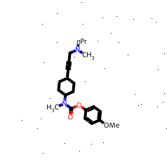 CCCN(C)CC#CC1CCC(N(C)C(=O)Oc2ccc(OC)cc2)CC1